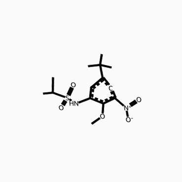 COc1c(NS(=O)(=O)C(C)C)cc(C(C)(C)C)cc1[N+](=O)[O-]